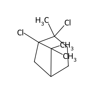 CC1(Cl)CCC2CC1(Cl)C2(C)C